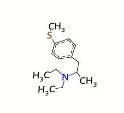 CCN(CC)C(C)Cc1ccc(SC)cc1